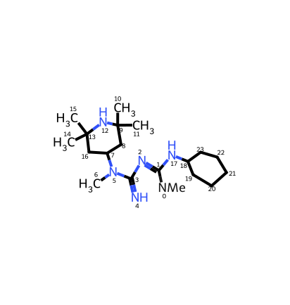 CN/C(=N\C(=N)N(C)C1CC(C)(C)NC(C)(C)C1)NC1CCCCC1